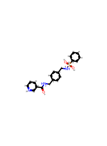 O=C(NCc1ccc(CNS(=O)(=O)c2ccccc2)cc1)c1cccnc1